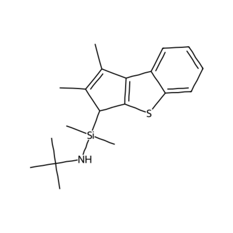 CC1=C(C)C([Si](C)(C)NC(C)(C)C)c2sc3ccccc3c21